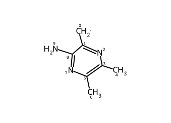 [CH2]c1nc(C)c(C)nc1N